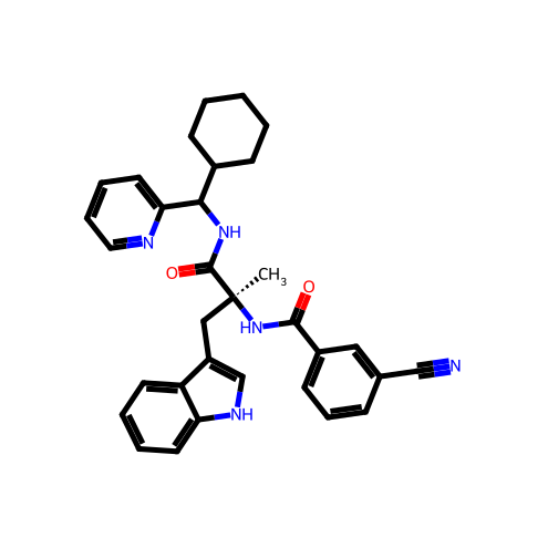 C[C@@](Cc1c[nH]c2ccccc12)(NC(=O)c1cccc(C#N)c1)C(=O)NC(c1ccccn1)C1CCCCC1